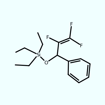 CC[Si](CC)(CC)OC(C(F)=C(F)F)c1ccccc1